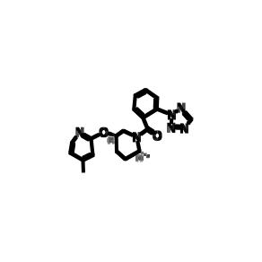 Cc1ccnc(O[C@@H]2CC[C@@H](C)N(C(=O)c3ccccc3-n3ncnn3)C2)c1